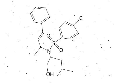 CC(C)CC(CO)N(C(C)C=Cc1ccccc1)S(=O)(=O)c1ccc(Cl)cc1